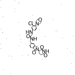 O=C(CNc1ccc(N2CCOCC2)c(Cl)c1)NCc1ccc2c(c1)CN(C1CCC(=O)NC1=O)C2=O